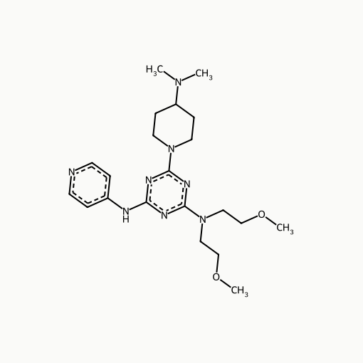 COCCN(CCOC)c1nc(Nc2ccncc2)nc(N2CCC(N(C)C)CC2)n1